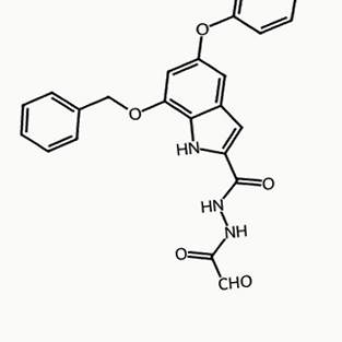 O=CC(=O)NNC(=O)c1cc2cc(Oc3ccc(S)cc3)cc(OCc3ccccc3)c2[nH]1